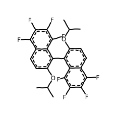 CC(C)Oc1ccc2c(F)c(F)c(F)c(F)c2c1-c1c(OC(C)C)ccc2c(F)c(F)c(F)c(F)c12